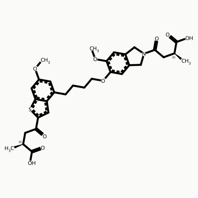 COc1cc(CCCCOc2cc3c(cc2OC)CN(C(=O)C[C@H](C)C(=O)O)C3)c2cc(C(=O)C[C@H](C)C(=O)O)sc2c1